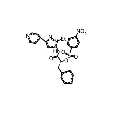 CCn1nc(-c2ccncc2)cc1NC(=O)[C@@H](Cc1ccccc1)OS(=O)(=O)c1ccc([N+](=O)[O-])cc1